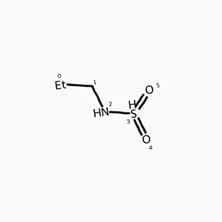 [CH2]CCN[SH](=O)=O